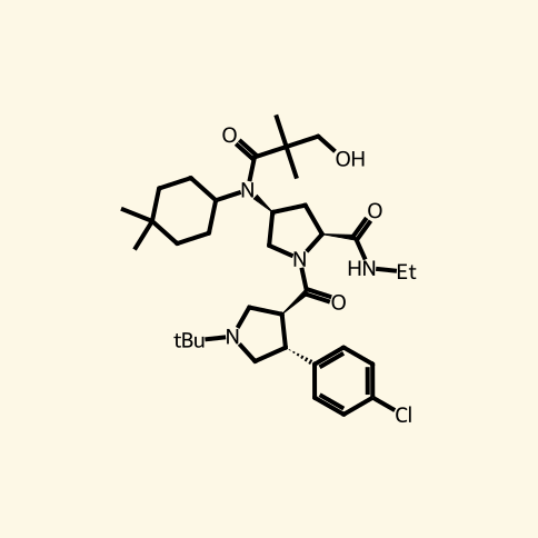 CCNC(=O)[C@@H]1C[C@H](N(C(=O)C(C)(C)CO)C2CCC(C)(C)CC2)CN1C(=O)[C@@H]1CN(C(C)(C)C)C[C@H]1c1ccc(Cl)cc1